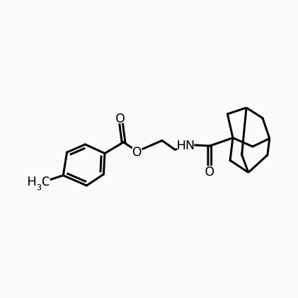 Cc1ccc(C(=O)OCCNC(=O)C23CC4CC(CC(C4)C2)C3)cc1